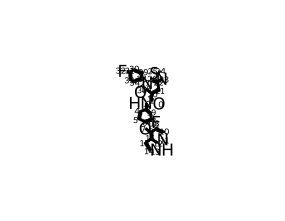 O=C(Nc1ccc(Oc2ccnc3[nH]ccc23)c(F)c1)c1cc2ncsc2n(-c2ccc(F)cc2)c1=O